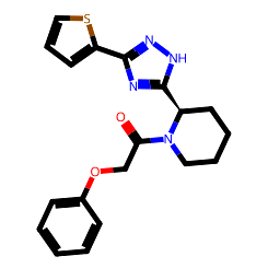 O=C(COc1ccccc1)N1CCCC[C@@H]1c1nc(-c2cccs2)n[nH]1